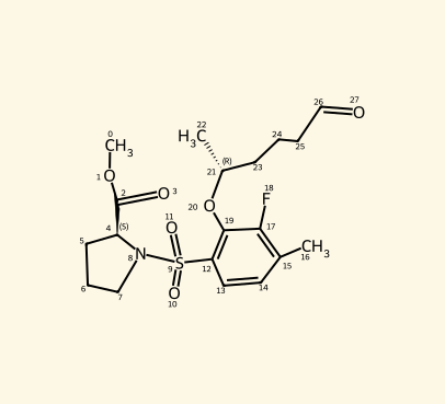 COC(=O)[C@@H]1CCCN1S(=O)(=O)c1ccc(C)c(F)c1O[C@H](C)CCCC=O